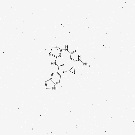 C=C(/C=C(\NN)[C@@H]1C[C@@H]1F)Nc1ccnc(N[C@@H](C)c2ccc3[nH]ccc3c2)n1